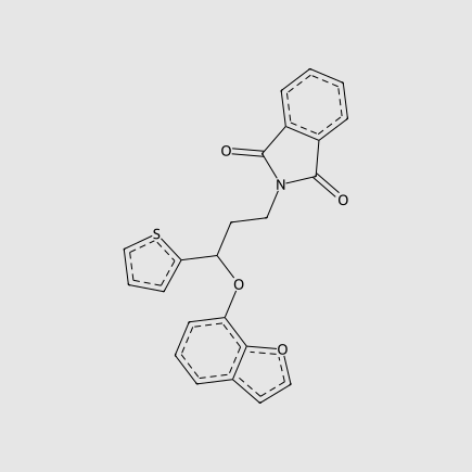 O=C1c2ccccc2C(=O)N1CCC(Oc1cccc2ccoc12)c1cccs1